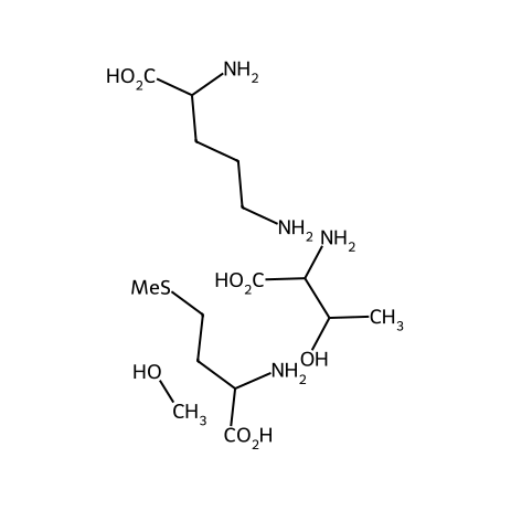 CC(O)C(N)C(=O)O.CO.CSCCC(N)C(=O)O.NCCCC(N)C(=O)O